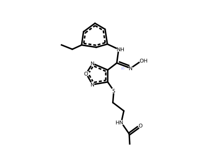 CCc1cccc(N/C(=N\O)c2nonc2SCCNC(C)=O)c1